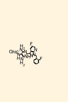 NC1=NC(c2nn(Cc3ccccc3F)c3ncc(F)cc23)NC(N)=C1NC=O